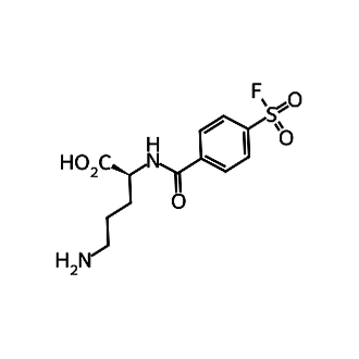 NCCC[C@H](NC(=O)c1ccc(S(=O)(=O)F)cc1)C(=O)O